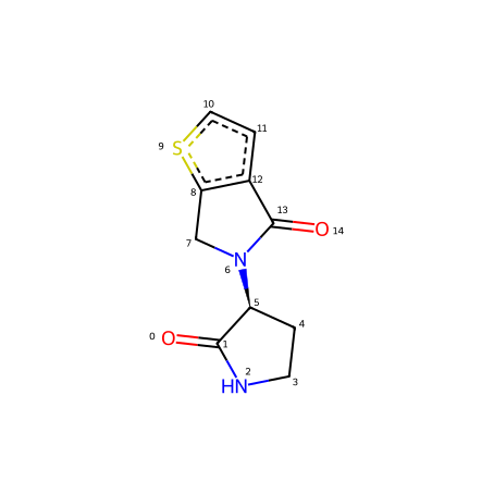 O=C1NCC[C@@H]1N1Cc2sccc2C1=O